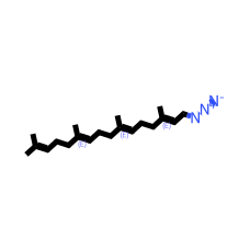 CC(C)=CCC/C(C)=C/CC/C(C)=C/CC/C(C)=C/CN=[N+]=[N-]